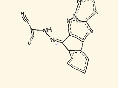 N#CC(=O)N/N=C1/c2ccccc2-c2nc3nnnn3nc21